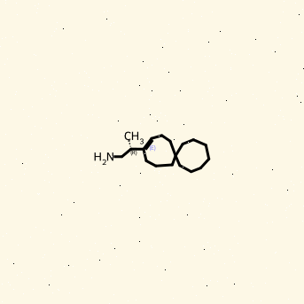 C[C@@H](CN)/C1=C/CCC2(CCCCCCC2)CCC1